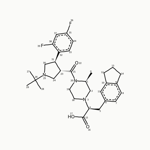 C[C@H]1CN([C@@H](Cc2ccc3c(c2)CCC3)C(=O)O)CCN1C(=O)[C@@H]1CN(C(C)(C)C)C[C@H]1c1ccc(F)cc1F